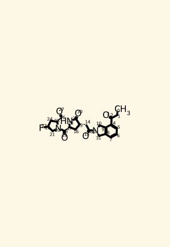 CCC(=O)c1cccc2c1CN(C(=O)C[C@@H]1C[C@@H](C(=O)N3CC(F)C[C@H]3C=O)NC1=O)C2